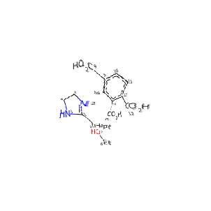 CCCCCCCC1=NCCN1.CCO.O=C(O)c1ccc(C(=O)O)c(C(=O)O)c1